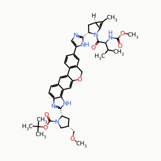 COC[C@H]1C[C@@H](c2nc3ccc4cc5c(cc4c3[nH]2)OCc2cc(-c3cnc([C@@H]4C[C@H]6C(C)=C6N4C(=O)[C@@H](NC(=O)OC)C(C)C)[nH]3)ccc2-5)N(C(=O)OC(C)(C)C)C1